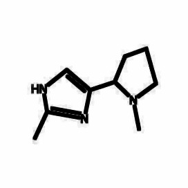 Cc1nc(C2CCCN2C)c[nH]1